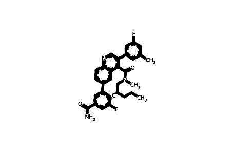 CCC[C@H](C)CN(C)C(=O)c1c(-c2cc(C)cc(F)c2)cnc2ccc(-c3cc(F)cc(C(N)=O)c3)cc12